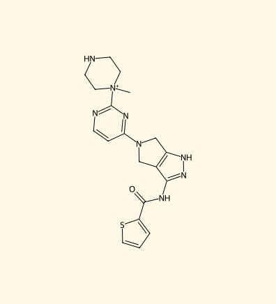 C[N+]1(c2nccc(N3Cc4[nH]nc(NC(=O)c5cccs5)c4C3)n2)CCNCC1